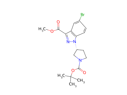 COC(=O)c1nn([C@@H]2CCN(C(=O)OC(C)(C)C)C2)c2ccc(Br)cc12